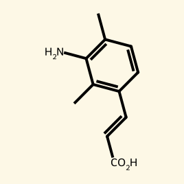 Cc1ccc(C=CC(=O)O)c(C)c1N